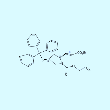 C=CCOC(=O)N1C[C@@H](SC(c2ccccc2)(c2ccccc2)c2ccccc2)C[C@H]1/C=C/C(=O)OCC